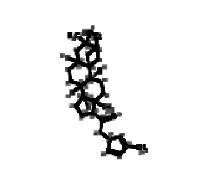 CCOC[C@]12CC[C@@](C)(O)C[C@H]1CC[C@H]1[C@@H]3CC[C@H](C(=O)Cn4cc(C)cn4)[C@@]3(C)CC[C@@H]12